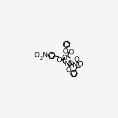 O=C(CN1C(=O)[C@@H](N2C(=O)OCC2c2ccccc2)[C@H]1CCC(=O)Oc1ccccc1)OCc1ccc([N+](=O)[O-])cc1